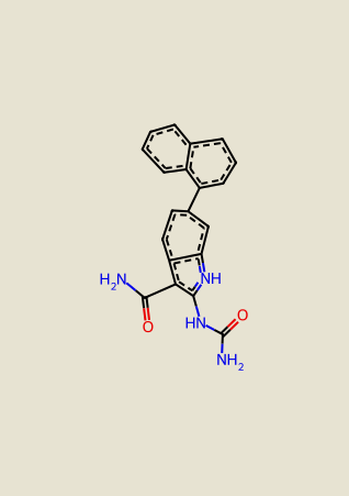 NC(=O)Nc1[nH]c2cc(-c3cccc4ccccc34)ccc2c1C(N)=O